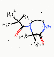 CC(C)(C)C(=O)N1CCNC(=O)C1(C)C